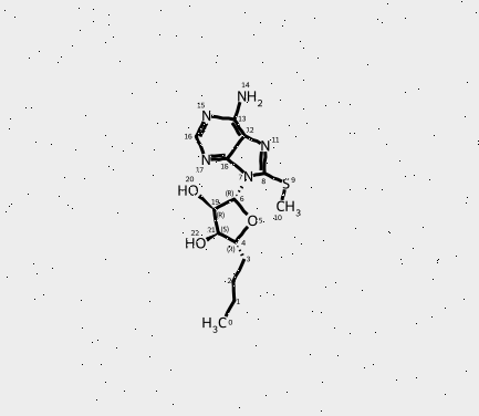 CCCC[C@H]1O[C@@H](n2c(SC)nc3c(N)ncnc32)[C@H](O)[C@@H]1O